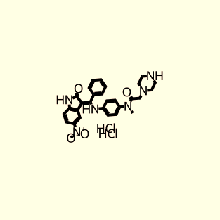 CN(C(=O)CN1CCNCC1)c1ccc(NC(=C2C(=O)Nc3ccc([N+](=O)[O-])cc32)c2ccccc2)cc1.Cl.Cl